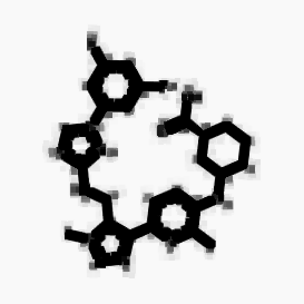 Cc1nc(-c2nnn(C)c2CNc2ncn(-c3cc(F)cc(F)c3)n2)ccc1OC1CCC[C@H](C(=O)O)C1